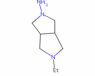 CCN1CC2CN(N)CC2C1